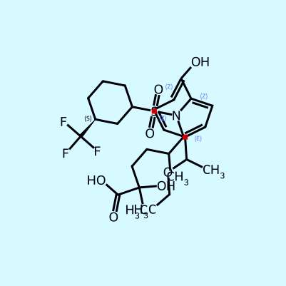 CCOC(C)C1=C/C=C(N(CC(C)CCC(C)(O)C(=O)O)S(=O)(=O)C2CCC[C@H](C(F)(F)F)C2)/C(O)=C/C=C\1